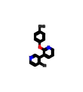 CCc1ccncc1-c1cccnc1Oc1ccc(C=O)cc1